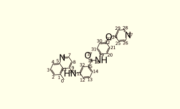 Cc1cccc2nccc(Nc3cccc(C(=O)Nc4ccc(Oc5ccncc5)cc4)c3)c12